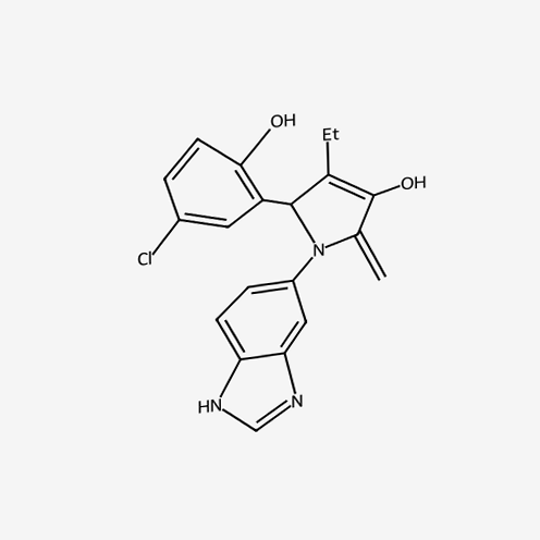 C=C1C(O)=C(CC)C(c2cc(Cl)ccc2O)N1c1ccc2[nH]cnc2c1